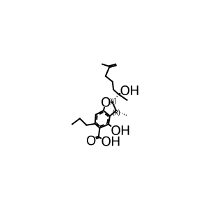 C=C(C)CCCC(C)(O)[C@H]1Oc2cc(CCC)c(C(=O)O)c(O)c2[C@H]1C